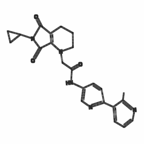 Cc1ncccc1-c1ccc(NC(=O)CN2CCCC3=C2C(=O)N(C2CC2)C3=O)cn1